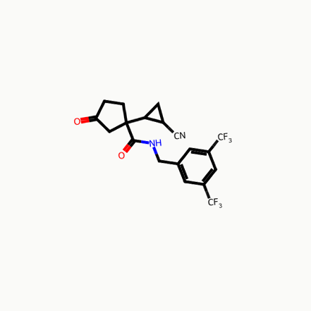 N#CC1CC1C1(C(=O)NCc2cc(C(F)(F)F)cc(C(F)(F)F)c2)CCC(=O)C1